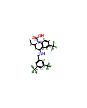 CCC1CC(NCc2cc(C(F)(F)F)cc(C(F)(F)F)c2)c2cc(C(F)(F)F)ccc2N1C(=O)O